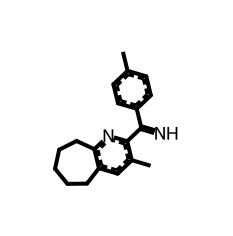 Cc1ccc(C(=N)c2nc3c(cc2C)CCCCC3)cc1